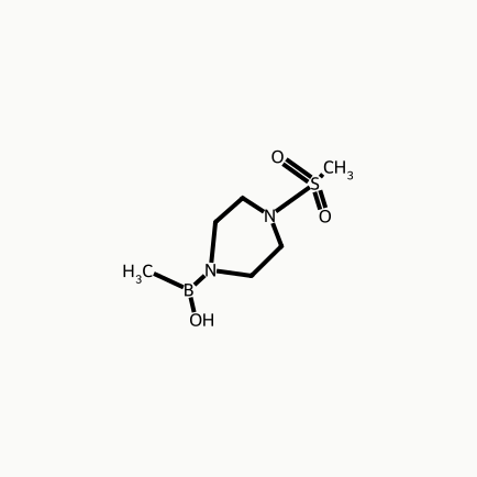 CB(O)N1CCN(S(C)(=O)=O)CC1